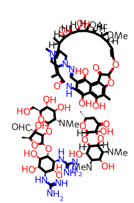 CN[C@@H]1[C@H](O)[C@H](NC)[C@H]2O[C@@]3(O)C(=O)C[C@@H](C)O[C@H]3O[C@@H]2[C@H]1O.CN[C@@H]1[C@H](O[C@H]2[C@H](O[C@H]3[C@H](O)[C@@H](O)[C@H](NC(=N)N)[C@@H](O)[C@@H]3NC(=N)N)O[C@@H](C)[C@]2(O)C=O)O[C@@H](CO)[C@H](O)[C@H]1O.CO[C@H]1/C=C/O[C@@]2(C)Oc3c(C)c(O)c4c(O)c(c(/C=N/N5CCN(C)CC5)c(O)c4c3C2=O)NC(=O)/C(C)=C\C=C\[C@H](C)[C@H](O)[C@@H](C)[C@@H](O)[C@@H](C)[C@H](OC(C)=O)[C@@H]1C